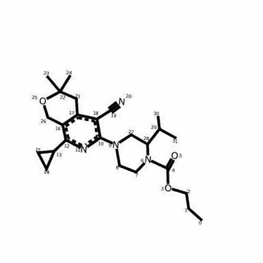 CCCOC(=O)N1CCN(c2nc(C3CC3)c3c(c2C#N)CC(C)(C)OC3)CC1C(C)C